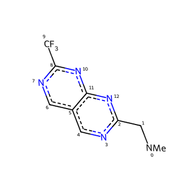 CNCc1ncc2cnc(C(F)(F)F)nc2n1